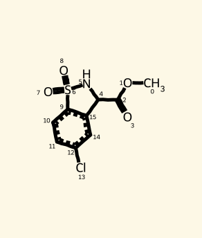 COC(=O)C1NS(=O)(=O)c2ccc(Cl)cc21